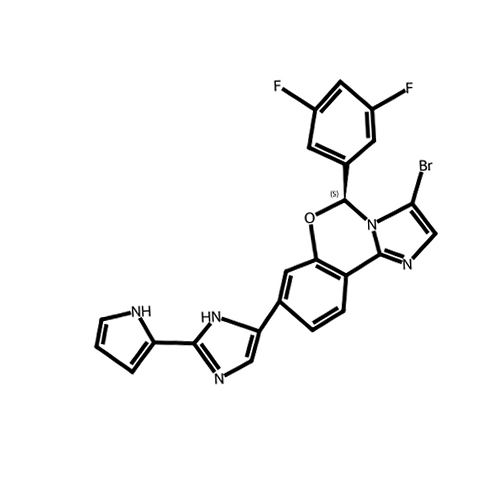 Fc1cc(F)cc([C@@H]2Oc3cc(-c4cnc(-c5ccc[nH]5)[nH]4)ccc3-c3ncc(Br)n32)c1